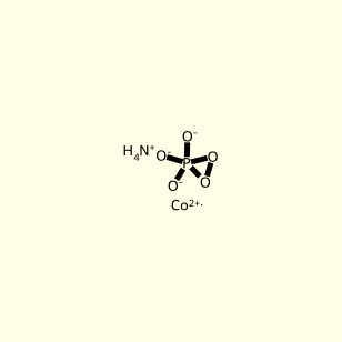 [Co+2].[NH4+].[O-]P1([O-])([O-])OO1